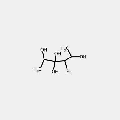 CCC(C(C)O)C(O)(O)C(C)O